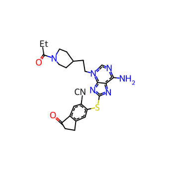 CCC(=O)N1CCC(CCn2cnc(N)c3nc(Sc4cc5c(cc4C#N)C(=O)CC5)nc2-3)CC1